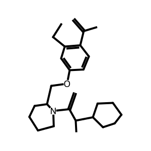 C=C(C)c1ccc(OCC2CCCCN2C(=C)C(C)C2CCCCC2)cc1CC